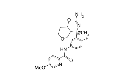 COc1ccc(C(=O)Nc2ccc(F)c([C@@]3(C)N=C(N)OC4CCOCC43)c2)nc1